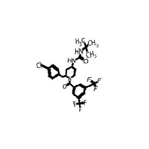 CC(C)(C)NC(=O)NC1CCN(C(=O)c2cc(C(F)(F)F)cc(C(F)(F)F)c2)C(Cc2ccc(Cl)cc2)C1